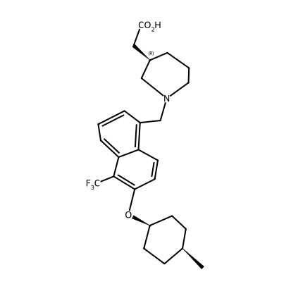 C[C@H]1CC[C@@H](Oc2ccc3c(CN4CCC[C@H](CC(=O)O)C4)cccc3c2C(F)(F)F)CC1